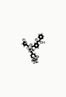 CN(C)S(=O)(=O)N1CCC(c2nc(OCc3ccc(Cl)s3)n(C(=O)c3cccc(C(=O)C(O)c4ccccc4)c3)n2)CC1=O